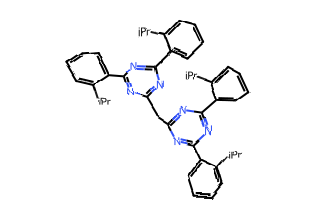 CC(C)c1ccccc1-c1nc(Cc2nc(-c3ccccc3C(C)C)nc(-c3ccccc3C(C)C)n2)nc(-c2ccccc2C(C)C)n1